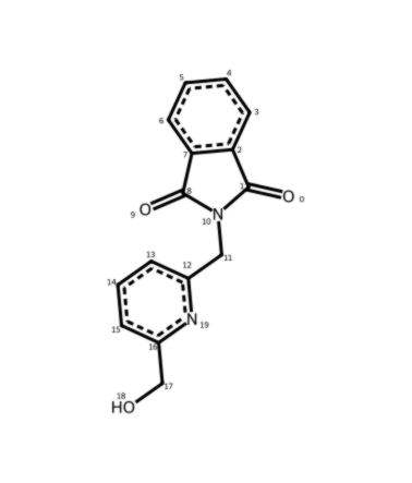 O=C1c2ccccc2C(=O)N1Cc1cccc(CO)n1